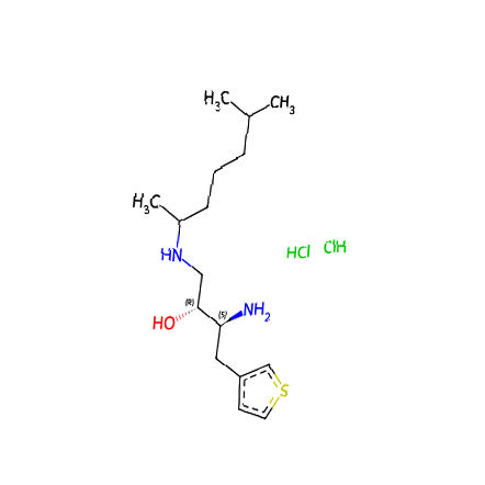 CC(C)CCCC(C)NC[C@@H](O)[C@@H](N)Cc1ccsc1.Cl.Cl